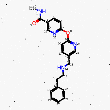 CCNC(=O)c1ccc(Oc2ccc(CNCCc3ccccc3)cn2)nc1